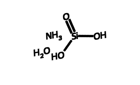 N.O.O=[Si](O)O